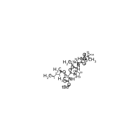 C=CCC[C@@H](C)O[C@@H](C)C(NC(=O)OC(C)(C)C)C(=O)N1CCC[C@H]1C(=O)N[C@]1(C(=O)NS(=O)(=O)C2(C)CC2)C[C@H]1C=C